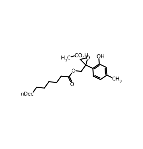 CC(=O)O.CCCCCCCCCCCCCCCC(=O)OCC1(c2ccc(C)cc2O)CO1